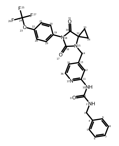 O=C(NCc1ccccc1)Nc1cc(CN2C(=O)N(c3ccc(OC(F)(F)F)cc3)C(=O)C23CC3)ccn1